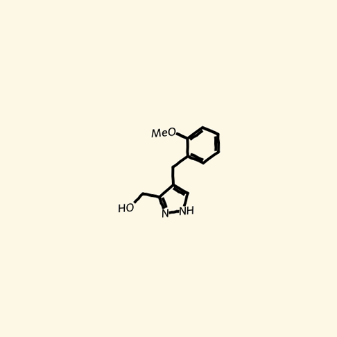 COc1ccccc1Cc1c[nH]nc1CO